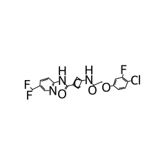 O=C(COc1ccc(Cl)c(F)c1)NC12CC(C(=O)Nc3ccc(C(F)F)cn3)(C1)C2